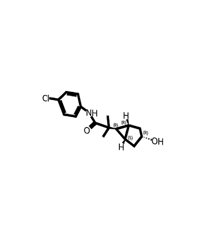 CC(C)(C(=O)Nc1ccc(Cl)cc1)[C@H]1[C@@H]2C[C@H](O)C[C@@H]21